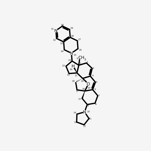 CC12CC=C3C=C4CCC(N5CCCC5)C[C@]45CC[C@]3(O5)[C@@H]1CCC2N1CCc2ccncc2C1